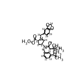 COC(=O)[C@@H]1C[C@H](N(Cc2cccc(OC)c2)C(=O)CC(C)(C)C)CN1Cc1ccc2c(c1)OCO2